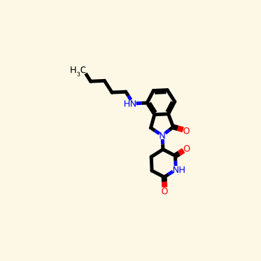 CCCCCNc1cccc2c1CN(C1CCC(=O)NC1=O)C2=O